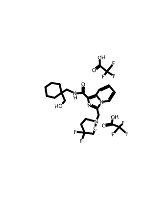 O=C(NCC1(CO)CCCCC1)c1nc(CN2CCC(F)(F)CC2)n2ccccc12.O=C(O)C(F)(F)F.O=C(O)C(F)(F)F